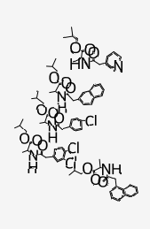 CC(C)COC(=O)C(C)NC(=O)Cc1ccc(Cl)c(Cl)c1.CC(C)COC(=O)C(C)NC(=O)Cc1ccc(Cl)cc1.CC(C)COC(=O)C(C)NC(=O)Cc1ccc2ccccc2c1.CC(C)COC(=O)C(C)NC(=O)Cc1cccc2ccccc12.CC(C)COC(=O)C(C)NC(=O)Cc1cccnc1